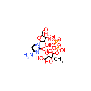 C[C@](O)(C(O)OP(=O)(O)OP(=O)(O)O)[C@H](O)CO.Nc1ccn([C@@H]2O[C@H](CO)[C@@H](O)[C@H]2O)c(=O)n1